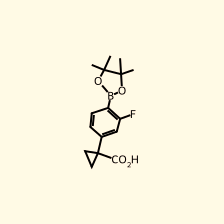 CC1(C)OB(c2ccc(C3(C(=O)O)CC3)cc2F)OC1(C)C